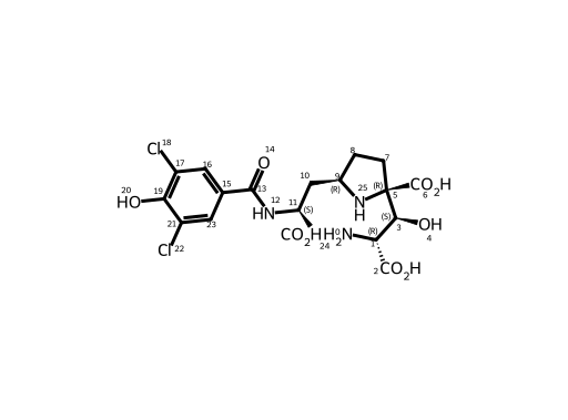 N[C@@H](C(=O)O)[C@H](O)[C@@]1(C(=O)O)CC[C@H](C[C@H](NC(=O)c2cc(Cl)c(O)c(Cl)c2)C(=O)O)N1